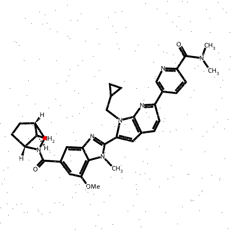 COc1cc(C(=O)N2C[C@H]3CC[C@@H]2[C@@H]3N)cc2nc(-c3cc4ccc(-c5ccc(C(=O)N(C)C)nc5)nc4n3CC3CC3)n(C)c12